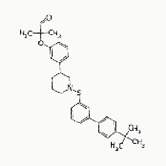 CC(C)(C=O)Oc1cccc(C2CCCN(Sc3cccc(-c4ccc(C(C)(C)C)cc4)c3)C2)c1